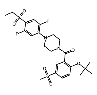 CCS(=O)(=O)c1cc(F)c(N2CCN(C(=O)c3cc(S(C)(=O)=O)ccc3OC(C)(C)C)CC2)cc1F